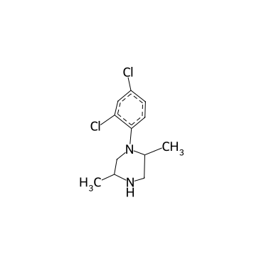 CC1CN(c2ccc(Cl)cc2Cl)C(C)CN1